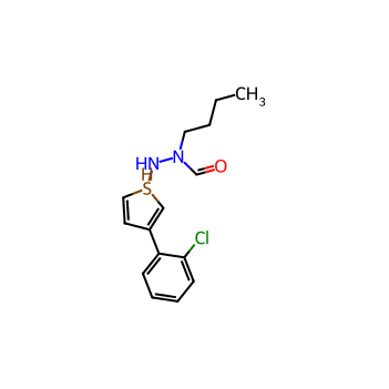 CCCCN(C=O)N[SH]1C=CC(c2ccccc2Cl)=C1